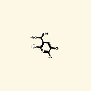 COC(OC)c1cc(C)c(Br)nc1C